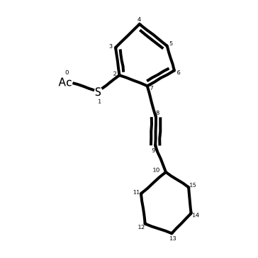 CC(=O)Sc1ccccc1C#CC1CCCCC1